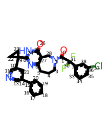 O=C(N1CCCc2nc(C3(c4cncc(-c5ccccc5)c4)CC3)[nH]c(=O)c2C1)C(F)(F)c1cccc(Cl)c1